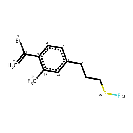 C=C(CC)c1ccc(CCCSF)cc1C(F)(F)F